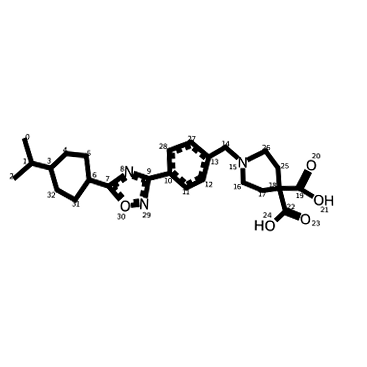 CC(C)C1CCC(c2nc(-c3ccc(CN4CCC(C(=O)O)(C(=O)O)CC4)cc3)no2)CC1